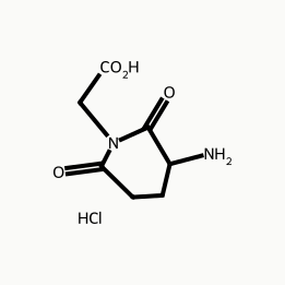 Cl.NC1CCC(=O)N(CC(=O)O)C1=O